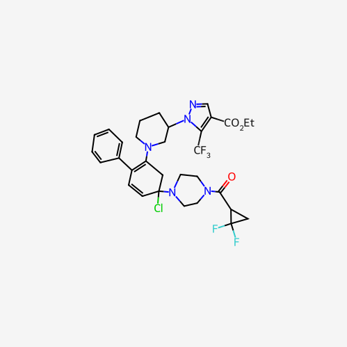 CCOC(=O)c1cnn(C2CCCN(C3=C(c4ccccc4)C=CC(Cl)(N4CCN(C(=O)C5CC5(F)F)CC4)C3)C2)c1C(F)(F)F